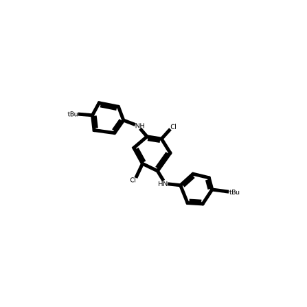 CC(C)(C)c1ccc(Nc2cc(Cl)c(Nc3ccc(C(C)(C)C)cc3)cc2Cl)cc1